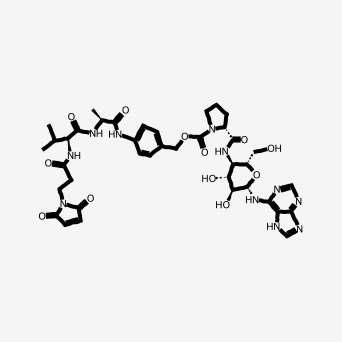 CC(C)[C@H](NC(=O)CCN1C(=O)C=CC1=O)C(=O)N[C@@H](C)C(=O)Nc1ccc(COC(=O)N2CCC[C@@H]2C(=O)N[C@@H]2[C@@H](O)[C@H](O)[C@@H](Nc3ncnc4nc[nH]c34)O[C@H]2CO)cc1